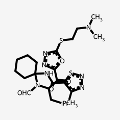 Cc1nnsc1C(=O)NC1(N(C=O)C(CC(C)C)C(=O)c2nnc(SCCN(C)C)o2)CCCCC1